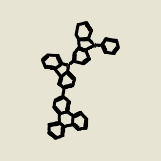 C1=Cc2c(c3cc(-n4c5ccccc5c5cc(-c6ccc7c8ccccc8c8ccccc8c7c6)ccc54)ccc3n2-c2ccccc2)CC1